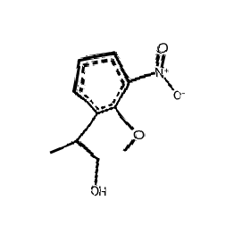 COc1c([C](C)CO)cccc1[N+](=O)[O-]